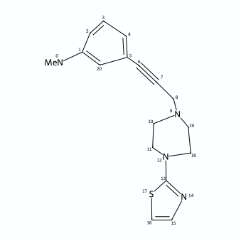 CNc1cccc(C#CCN2CCN(c3nccs3)CC2)c1